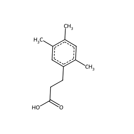 Cc1cc(C)c(CCC(=O)O)cc1C